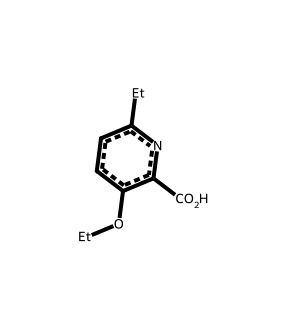 CCOc1ccc(CC)nc1C(=O)O